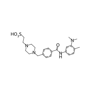 Cc1ccc(NC(=O)c2ccc(CN3CCN(CCS(=O)(=O)O)CC3)cc2)cc1N(C)C